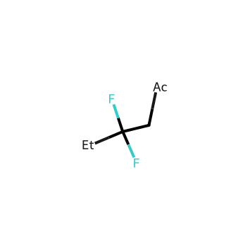 CCC(F)(F)CC(C)=O